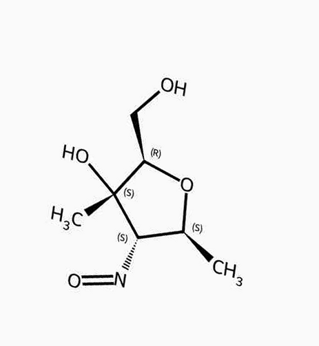 C[C@@H]1O[C@H](CO)[C@@](C)(O)[C@H]1N=O